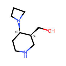 OC[C@H]1CNCC[C@H]1N1CCC1